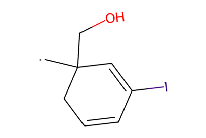 [CH2]C1(CO)C=C(I)C=CC1